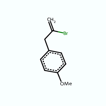 C=C(Br)Cc1ccc(OC)cc1